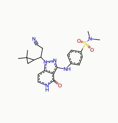 CN(C)S(=O)(=O)c1ccc(Nc2nn(C(CC#N)C3CC3(C)C)c3cc[nH]c(=O)c23)cc1